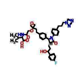 CC(C)C(NC(=O)COC1(CCc2ccc(C3[C@@H](CCC(O)c4ccc(F)cc4)C(=O)N3c3ccc(CCCn4cncn4)cc3)cc2)COC1)C(=O)O